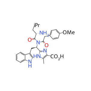 COc1ccc(CC(=O)N(C(=O)[C@@H](N)CC(C)C)[C@H](Cc2c[nH]c3ccccc23)c2nc(C(=O)O)c(C)[nH]2)cc1